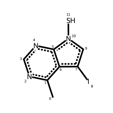 Cc1ncnc2c1c(I)cn2S